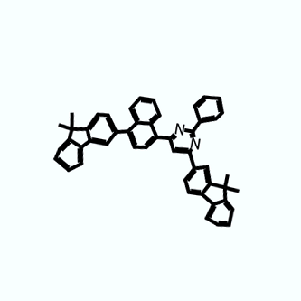 CC1(C)c2ccccc2-c2cc(-c3ccc(-c4cc(-c5ccc6c(c5)C(C)(C)c5ccccc5-6)nc(-c5ccccc5)n4)c4ccccc34)ccc21